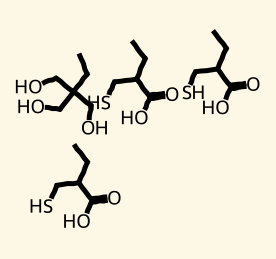 CCC(CO)(CO)CO.CCC(CS)C(=O)O.CCC(CS)C(=O)O.CCC(CS)C(=O)O